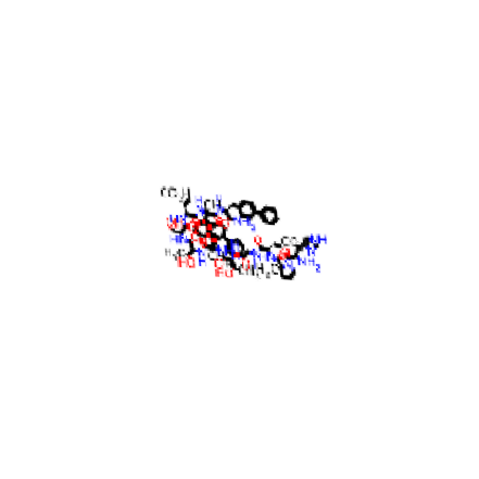 C[C@@H](O)[C@H](NC(=O)CNC(=O)[C@H](CCC(=O)O)NC(=O)[C@]1(C)CCCN1C(=O)C(N)Cc1c[nH]cn1)C(=O)NC(C)(Cc1ccccc1F)C(=O)N[C@H](C(=O)N[C@@H](CO)C(=O)N[C@@H](CCC(=O)O)C(=O)NC(C)(Cc1ccc(-c2ccccc2)cc1)C(=O)N[C@@H](Cc1ccc(-c2ccccc2)cc1)C(N)=O)[C@@H](C)O